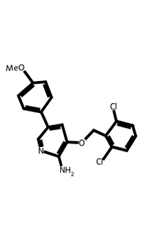 COc1ccc(-c2cnc(N)c(OCc3c(Cl)cccc3Cl)c2)cc1